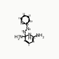 NC1=CC=CC(N)(N=Nc2ccccn2)N1